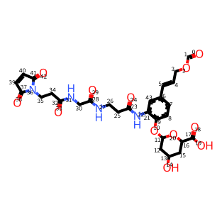 O=COC/C=C/c1ccc(OC2CC(O)CC(C(=O)O)O2)c(NC(=O)CCNC(=O)CNC(=O)CCN2C(=O)C=CC2=O)c1